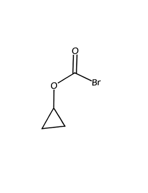 O=C(Br)OC1CC1